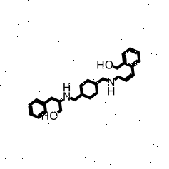 OCc1ccccc1/C=C\CNCC1CCC(CNC(CO)Cc2ccccc2)CC1